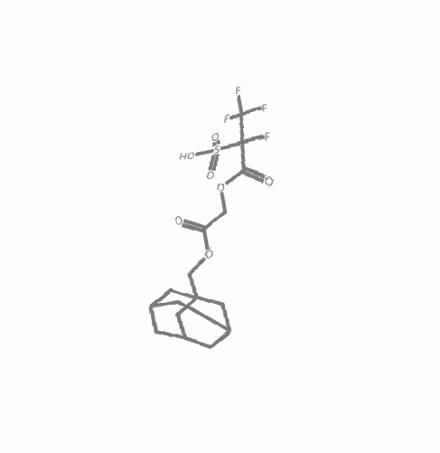 O=C(COC(=O)C(F)(C(F)(F)F)S(=O)(=O)O)OCC12CC3CC(CC(C3)C1)C2